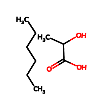 CC(O)C(=O)O.CCCCCC